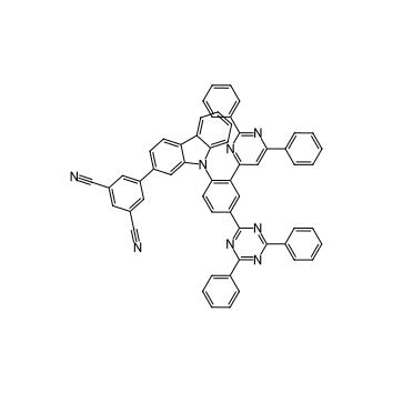 N#Cc1cc(C#N)cc(-c2ccc3c4ccccc4n(-c4ccc(-c5nc(-c6ccccc6)nc(-c6ccccc6)n5)cc4-c4cc(-c5ccccc5)nc(-c5ccccc5)n4)c3c2)c1